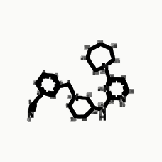 N#Cc1cccc(CN2CCCC(Nc3nccc(N4CCCCCC4)n3)C2)c1